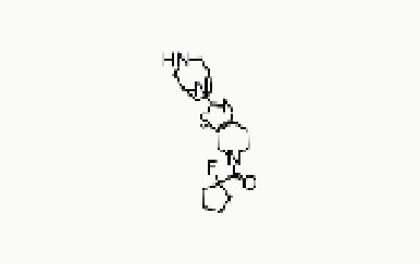 O=C(N1CCc2nc(N3C4CCC3CNC4)sc2C1)C1(F)CCCC1